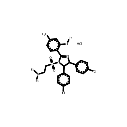 CCOc1cc(C(F)(F)F)ccc1C1=NC(c2ccc(Cl)cc2)C(c2ccc(Cl)cc2)N1S(=O)(=O)CCN(CC)CC.Cl